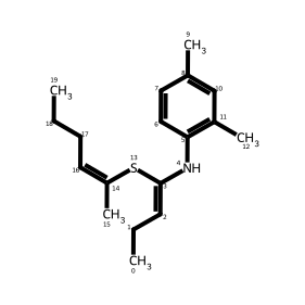 CC/C=C(/Nc1ccc(C)cc1C)S/C(C)=C\CCC